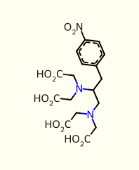 O=C(O)CN(CC(=O)O)CC(Cc1ccc([N+](=O)[O-])cc1)N(CC(=O)O)CC(=O)O